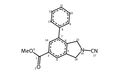 COC(=O)c1cc2c(c(-c3ccccc3)c1)CN(C#N)C2